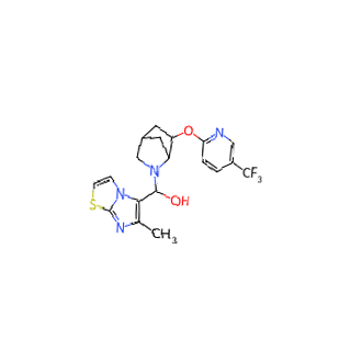 Cc1nc2sccn2c1C(O)N1CC2CC(Oc3ccc(C(F)(F)F)cn3)C1C2